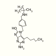 CCCCCc1nc(N)nc2nc(O)n(Cc3ccc(CNC(C)(C)C)cc3)c12